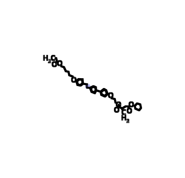 C=CC(=O)OCCCCCCOc1ccc(/C=C/c2ccc(-c3ccc(OCCCOC(=O)C(=C)CC(=O)OC4CCCCC4)cc3)cc2)cc1